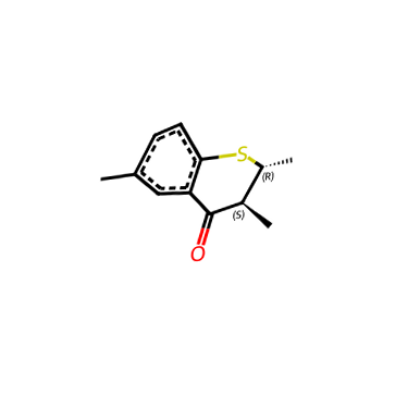 Cc1ccc2c(c1)C(=O)[C@H](C)[C@@H](C)S2